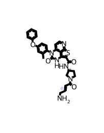 Cc1cc(Oc2ccccc2)ccc1N1C(=O)Nc2c(C(=O)N[C@@H]3CCN(C(=O)/C=C/CN)C3)sc3nccc1c23